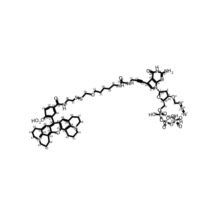 [N-]=[N+]=NCO[C@@H]1C[C@H](n2cc(C#CCNC(=O)NCCCCCOCSSCCNC(=O)c3ccc(C(=O)O)c(C4=c5cc6c7c(c5Oc5c4cc4c8c5CCCN8CCC4)CCC[N+]=7CCC6)c3)c3c(=O)[nH]c(N)nc32)O[C@@H]1COP(=O)(O)OP(=O)(O)OP(=O)(O)O